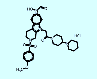 COc1ccc(S(=O)(=O)N2CCc3c(n(CC(=O)N4CCC(N5CCCCC5)CC4)c4ccccc34)C2)cc1.Cl.O=CNO